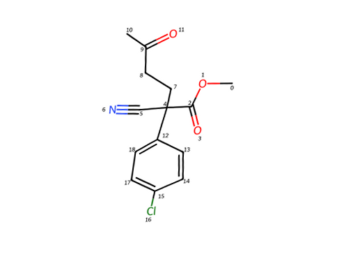 COC(=O)C(C#N)(CCC(C)=O)c1ccc(Cl)cc1